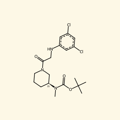 CN(C(=O)OC(C)(C)C)[C@H]1CCCN(C(=O)CNc2cc(Cl)cc(Cl)c2)C1